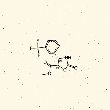 COC(=O)[C@@H]1OC(=O)N[C@H]1c1cccc(C(F)(F)F)c1